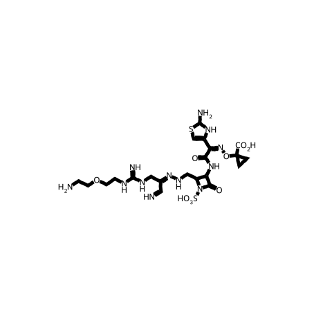 N=C/C(CNC(=N)NCCOCCN)=N\NCC1C(NC(=O)/C(=N\OC2(C(=O)O)CC2)C2=CSC(N)N2)C(=O)N1S(=O)(=O)O